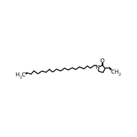 C=CCCCCCCCCCCCCCCCCCCN1CCC(C=C)C1=O